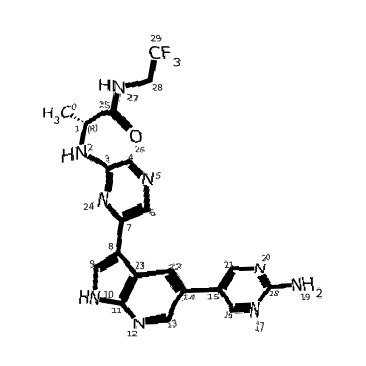 C[C@@H](Nc1cncc(-c2c[nH]c3ncc(-c4cnc(N)nc4)cc23)n1)C(=O)NCC(F)(F)F